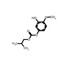 COc1ccc(OC(=O)OCC(C)C)cc1O